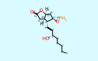 CCCCC[C@H](O)/C=C/[C@@H]1[C@H]2CC(=O)O[C@H]2C[C@H]1OP